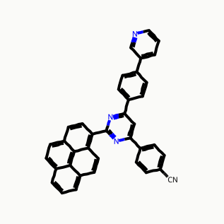 N#Cc1ccc(-c2cc(-c3ccc(-c4cccnc4)cc3)nc(-c3ccc4ccc5cccc6ccc3c4c56)n2)cc1